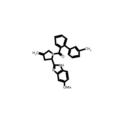 C=C1CC(c2nc3cc(OC)ccc3[nH]2)N(C(=O)c2ccccc2-c2cccc(C)c2)C1